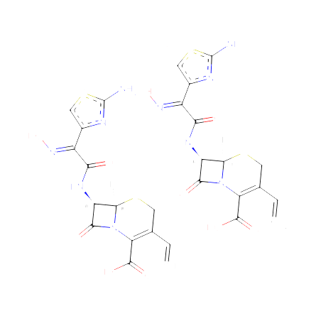 C=CC1=C(C(=O)O)N2C(=O)[C@@H](NC(=O)C(=NO)c3csc(N)n3)[C@H]2SC1.C=CC1=C(C(=O)O)N2C(=O)[C@@H](NC(=O)C(=NO)c3csc(N)n3)[C@H]2SC1.O